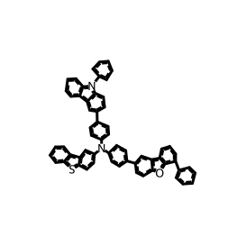 c1ccc(-c2cccc3c2oc2ccc(-c4ccc(N(c5ccc(-c6ccc7c(c6)c6ccccc6n7-c6ccccc6)cc5)c5ccc6sc7ccccc7c6c5)cc4)cc23)cc1